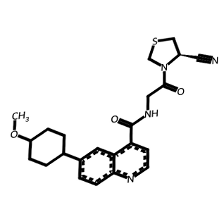 COC1CCC(c2ccc3nccc(C(=O)NCC(=O)N4CSC[C@H]4C#N)c3c2)CC1